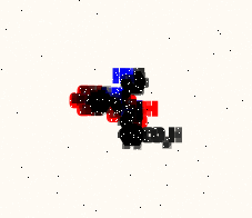 O=C(O)c1cccc2c1OB(O)[C@@H](NC(=O)C(NC(=O)[C@@H]1CCCNC1)c1ccc(P(=O)(O)O)cc1)C2